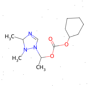 CC1N=CN(C(C)OC(=O)OC2CCCCC2)N1C